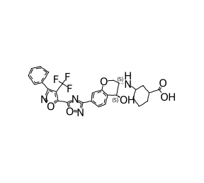 O=C(O)C1CCCC(N[C@H]2COc3cc(-c4noc(-c5onc(-c6ccccc6)c5C(F)(F)F)n4)ccc3[C@@H]2O)C1